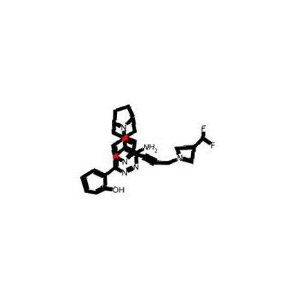 Nc1nnc(-c2ccccc2O)cc1N1CC2CCC(C1)N2c1ccnc(C#CCN2CC(C(F)F)C2)c1